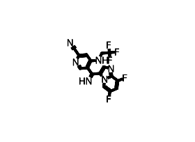 N#Cc1cc(NCC(F)(F)F)c(C(=N)c2cnc3c(F)cc(F)cn23)cn1